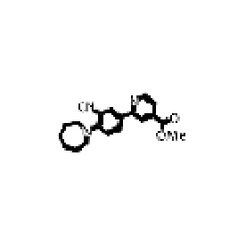 [C-]#[N+]c1cc(-c2cc(C(=O)OC)ccn2)ccc1N1CCCCCC1